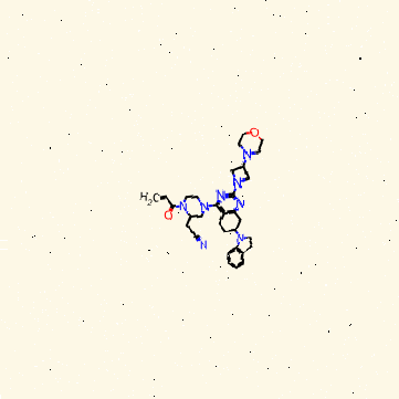 C=CC(=O)N1CCN(c2nc(N3CC(N4CCOCC4)C3)nc3c2CCC(N2CCc4ccccc42)C3)CC1CC#N